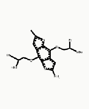 CCCCC(CC)COc1c2cc(N)sc2c(OCC(CC)CCCC)c2cc(C)sc12